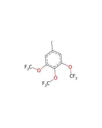 [CH2]c1cc(OC(F)(F)F)c(OC(F)(F)F)c(OC(F)(F)F)c1